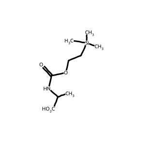 CC(NC(=O)OCC[Si](C)(C)C)C(=O)O